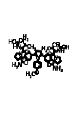 COc1ccc(N2C(c3ccc([C@]4(C(N)=O)CCCN4C(=O)[C@@H](NC(=O)O)C(C)C)cc3)CC[C@@H]2c2ccc([C@]3(C(N)=O)CCCN3C(=O)[C@@H](NC(=O)O)C(C)C)cc2)cc1